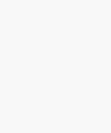 Cc1cc(C)c(C(C)(C)C=C=O)c(OC(=O)CCCN=[N+]=[N-])c1